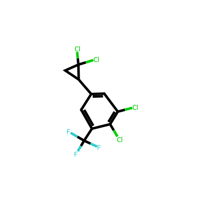 FC(F)(F)c1cc(C2CC2(Cl)Cl)cc(Cl)c1Cl